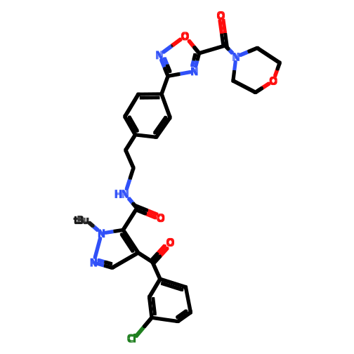 CC(C)(C)n1ncc(C(=O)c2cccc(Cl)c2)c1C(=O)NCCc1ccc(-c2noc(C(=O)N3CCOCC3)n2)cc1